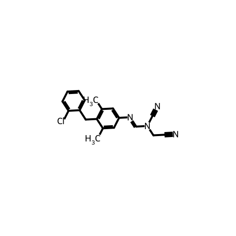 Cc1cc(N=CN(C#N)CC#N)cc(C)c1Cc1ccccc1Cl